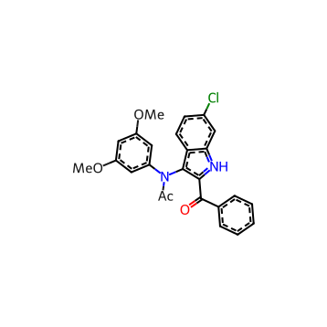 COc1cc(OC)cc(N(C(C)=O)c2c(C(=O)c3ccccc3)[nH]c3cc(Cl)ccc23)c1